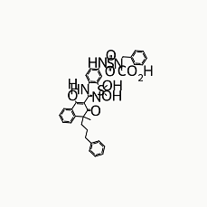 CC1(CCCc2ccccc2)C(=O)C(C2=NS(O)(O)c3cc(NS(=O)(=O)N(Cc4ccccc4)C(=O)O)ccc3N2)=C(O)c2ccccc21